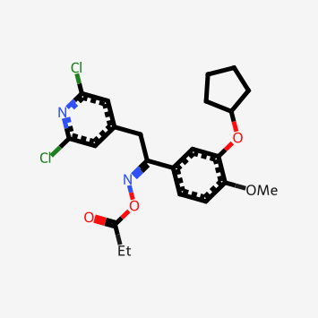 CCC(=O)ON=C(Cc1cc(Cl)nc(Cl)c1)c1ccc(OC)c(OC2CCCC2)c1